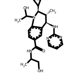 CC(CO)NC(=O)c1ccc2c(c1)[C@H](Nc1ncccn1)[C@@H](C)[C@H](C1CC1)N2C(C)O